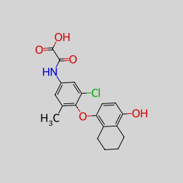 Cc1cc(NC(=O)C(=O)O)cc(Cl)c1Oc1ccc(O)c2c1CCCC2